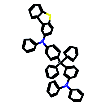 c1ccc(N(c2ccccc2)c2cccc([Si](c3ccccc3)(c3ccccc3)c3ccc(N(c4ccccc4)c4ccc5sc6ccccc6c5c4)cc3)c2)cc1